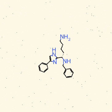 NCCCC[C@H](NCc1ccccc1)c1nc(-c2ccccc2)c[nH]1